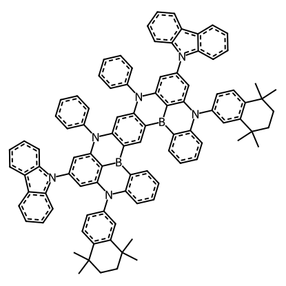 CC1(C)CCC(C)(C)c2cc(N3c4ccccc4B4c5cc6c(cc5N(c5ccccc5)c5cc(-n7c8ccccc8c8ccccc87)cc3c54)N(c3ccccc3)c3cc(-n4c5ccccc5c5ccccc54)cc4c3B6c3ccccc3N4c3ccc4c(c3)C(C)(C)CCC4(C)C)ccc21